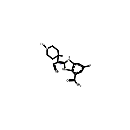 CC(C)N1CCC(C)(/C(C=N)=C2\Nc3cc(F)cc(C(N)=O)c3N2)CC1